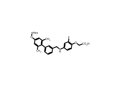 CCCCCCOc1cc(C)c(-c2cccc(CNc3ccc(OCC(=O)O)c(F)c3)c2)c(C)c1